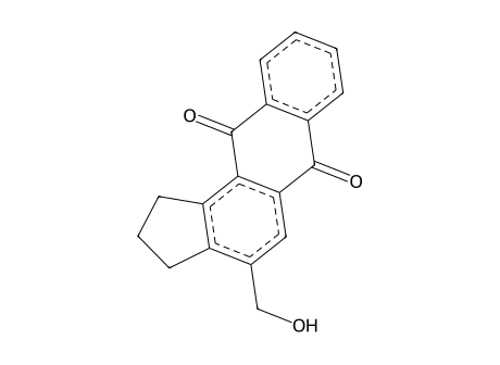 O=C1c2ccccc2C(=O)c2c1cc(CO)c1c2CCC1